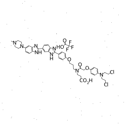 CN1CCN(c2ccc3[nH]c(-c4ccc5nc(-c6ccc(OCCCN(CCC(=O)O)C(=O)COc7ccc(N(CCCl)CCCl)cc7)cc6)[nH]c5c4)nc3c2)CC1.O=C(O)C(F)(F)F